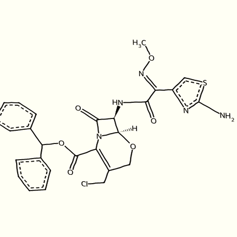 CON=C(C(=O)N[C@@H]1C(=O)N2C(C(=O)OC(c3ccccc3)c3ccccc3)=C(CCl)CO[C@H]12)c1csc(N)n1